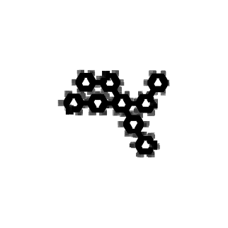 c1ccc(-c2cc(-c3cc(-c4ccnc(-c5ccccc5)c4)c(-c4ccc(-c5cccnc5)cc4)cc3-c3ccc(-c4cccnc4)cc3)ccn2)cc1